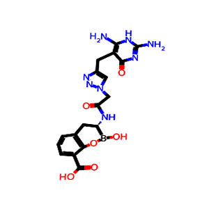 Nc1nc(=O)c(Cc2cn(CC(=O)N[C@H]3Cc4cccc(C(=O)O)c4OB3O)nn2)c(N)[nH]1